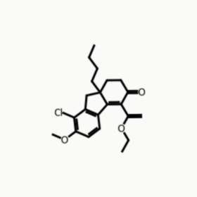 C=C(OCC)C1=C2c3ccc(OC)c(Cl)c3CC2(CCCC)CCC1=O